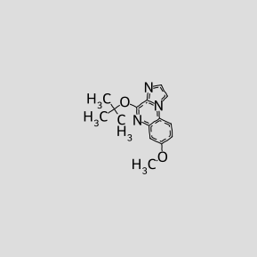 COc1ccc2c(c1)nc(OC(C)(C)C)c1nccn12